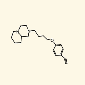 C#Cc1ccc(OCCCCN2CCN3CCCCC3C2)cc1